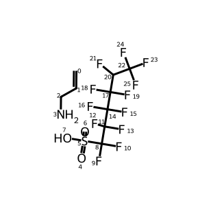 C=CCN.O=S(=O)(O)C(F)(F)C(F)(F)C(F)(F)C(F)(F)C(F)C(F)(F)F